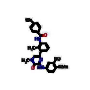 CNc1ccc(Nc2nc(-c3cccc(NC(=O)c4ccc(C(C)(C)C)cc4)c3C)cn(C)c2=O)cc1N=O